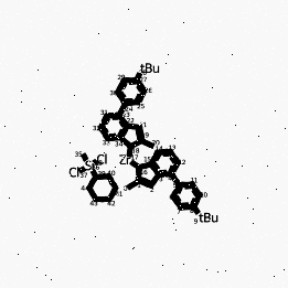 CC1=Cc2c(-c3ccc(C(C)(C)C)cc3)cccc2[CH]1[Zr][CH]1C(C)=Cc2c(-c3ccc(C(C)(C)C)cc3)cccc21.C[Si](Cl)(Cl)C1CCCCC1